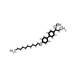 CCCCCCCCCCOc1ccc(-c2ccc(C(CC)OC)cc2)cc1